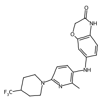 Cc1nc(N2CCC(C(F)(F)F)CC2)ccc1Nc1ccc2c(c1)OCC(=O)N2